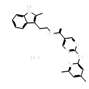 Cc1cc(C)nc(Nc2ncc(C(=O)NCCc3c(C)[nH]c4ccccc34)cn2)c1.Cl